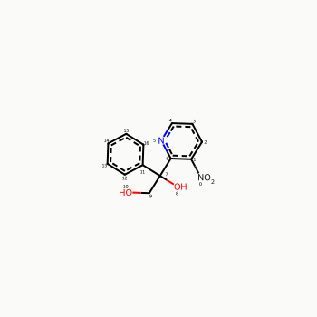 O=[N+]([O-])c1cccnc1C(O)(CO)c1ccccc1